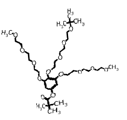 COCCOCCOCCOc1cc(OC(=O)C(C)(C)C)cc(OCCOCCOCCOC)c1OCCOCCOCCOC(C)(C)C